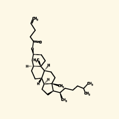 C=CCCC(=O)O[C@H]1CC[C@@]2(C)[C@@H](CC[C@@H]3[C@@H]2CC[C@]2(C)[C@@H]([C@H](C)CCCC(C)C)CC[C@@H]32)C1